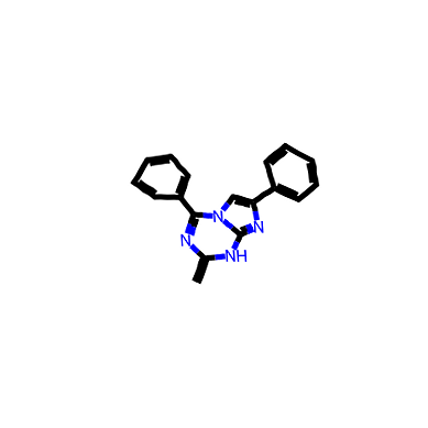 C=C1N=C(c2ccccc2)n2cc(-c3ccccc3)nc2N1